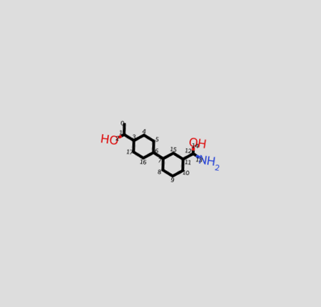 CC(O)C1CCC(C2CCCC(C(N)O)C2)CC1